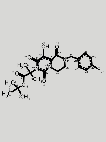 CC(C)(C)OC(=O)C(C)(C)n1c(=O)c(O)c2n(c1=O)CCN(Cc1ccc(F)cc1)C2=O